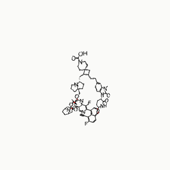 C#Cc1c(F)ccc2cccc(-c3ncc4c(N5CC6CCC(C5)N6C(=O)OC(C)(C)C)nc(OC[C@@]56CCCN5[C@H](CC5C(CCc7ccc8c(c7)n(C)c(=O)n8C7CCC(=O)NC7=O)CC57CCN(C(=O)O)CC7)CC6)nc4c3F)c12